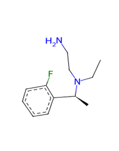 CCN(CCN)[C@@H](C)c1ccccc1F